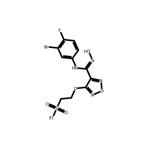 CCS(=O)(=O)CCOc1nonc1/C(=N/O)Nc1ccc(F)c(Br)c1